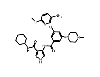 CN1CCN(c2cc(Cl)cc(C(=O)Nc3c[nH]nc3C(=O)NC3CCCCC3)c2)CC1.COc1ccc(N)cn1